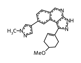 COC1CC=C(c2n[nH]c3ncc4ccc(-c5cnn(C)c5)cc4c23)CC1